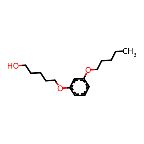 CCCCCOc1cccc(OCCCCCO)c1